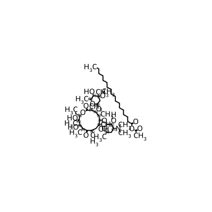 CCCCCCCCCCCCCCCCCC(=O)OC(C)=O.CC[C@H]1OC(=O)[C@H](C)[C@@H](O[C@H]2C[C@@](C)(OC)[C@@H](O)[C@H](C)O2)[C@H](C)[C@@H](O[C@@H]2O[C@H](C)C[C@H](N(C)C)[C@H]2O)[C@](C)(O)C[C@@H](C)C(=O)[C@H](C)[C@@H](O)[C@]1(C)O